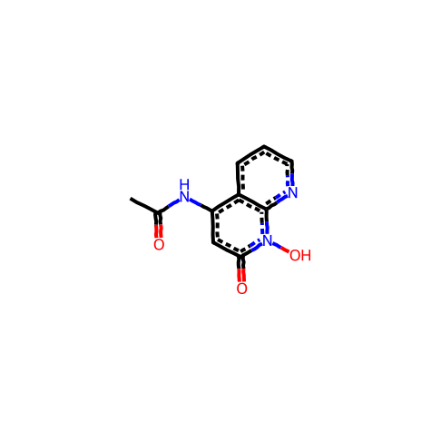 CC(=O)Nc1cc(=O)n(O)c2ncccc12